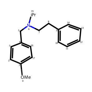 COc1ccc(CN(CCc2ccccc2)C(C)C)cc1